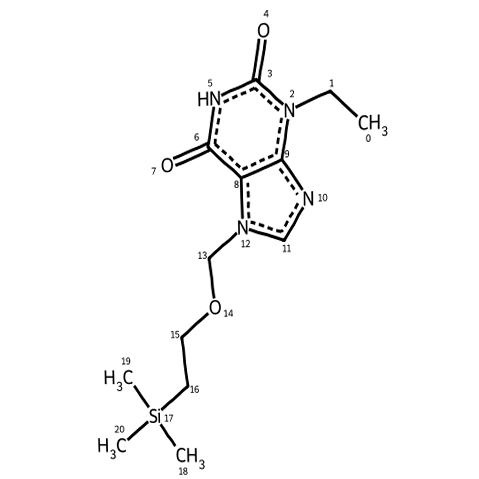 CCn1c(=O)[nH]c(=O)c2c1ncn2COCC[Si](C)(C)C